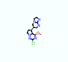 COc1nc(Cl)nn2ccc(-c3cnc4nccn4c3)c12